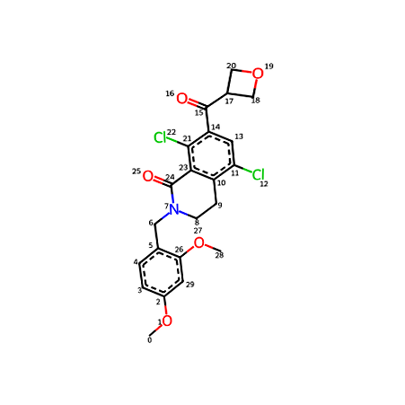 COc1ccc(CN2CCc3c(Cl)cc(C(=O)C4COC4)c(Cl)c3C2=O)c(OC)c1